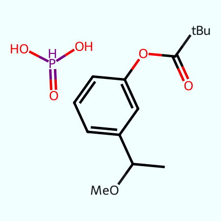 COC(C)c1cccc(OC(=O)C(C)(C)C)c1.O=[PH](O)O